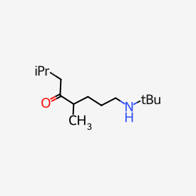 CC(C)CC(=O)C(C)CCCNC(C)(C)C